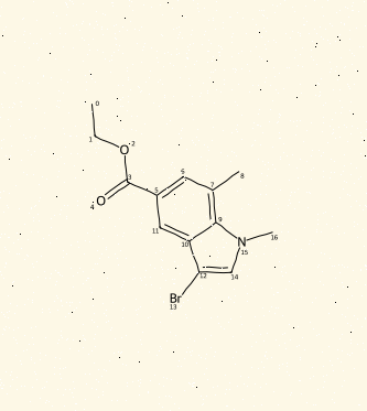 CCOC(=O)c1cc(C)c2c(c1)c(Br)cn2C